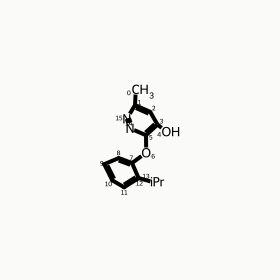 Cc1cc(O)c(Oc2ccccc2C(C)C)nn1